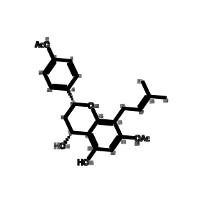 CC(=O)Oc1ccc([C@H]2C[C@@H](O)c3c(O)cc(OC(C)=O)c(CC=C(C)C)c3O2)cc1